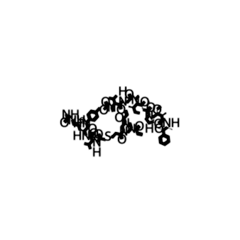 C=CC(=O)N1CN(C(=O)C=C)CN(C(=O)CCSCC(=O)NC(C(=O)N[C@@H](CCCNC(N)=O)C(=O)Nc2ccc(COC(=O)N(C)C(C(=O)NCC(=O)N(C)[C@@H]([C@H](C)CC)[C@@H](CC(=O)N3CCC[C@H]3[C@H](OC)[C@@H](C)C(=O)N[C@H](C)[C@@H](O)c3ccccc3)OC)C(C)C)cc2)C(C)C)C1